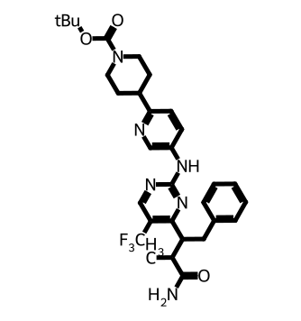 CC(C(N)=O)C(Cc1ccccc1)c1nc(Nc2ccc(C3CCN(C(=O)OC(C)(C)C)CC3)nc2)ncc1C(F)(F)F